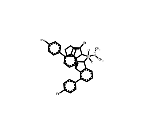 CCC1=Cc2c(-c3ccc(C(C)(C)C)cc3)cccc2[CH]1[Zr]([Cl])([Cl])([CH]1C(C2CCCC2)=Cc2c(-c3ccc(C(C)C)cc3)cccc21)[SiH](C)C